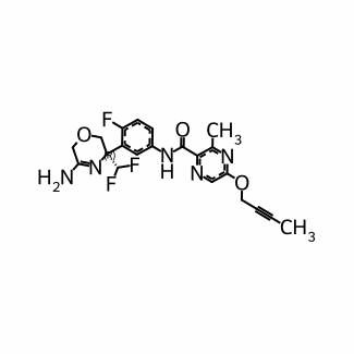 CC#CCOc1cnc(C(=O)Nc2ccc(F)c([C@]3(C(F)F)COCC(N)=N3)c2)c(C)n1